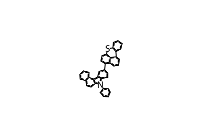 c1ccc(-n2c3ccc(-c4ccc5c6c(cccc46)-c4ccccc4S5)cc3c3c4ccccc4ccc32)cc1